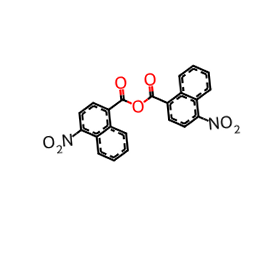 O=C(OC(=O)c1ccc([N+](=O)[O-])c2ccccc12)c1ccc([N+](=O)[O-])c2ccccc12